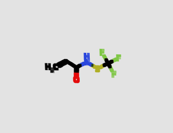 C=CC(=O)NSC(F)(F)F